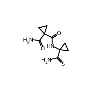 NC(=O)C1(C(=O)NC2(C(N)=S)CC2)CC1